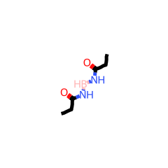 CCC(=O)NBNC(=O)CC